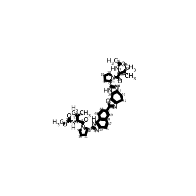 COC(=O)N[C@H](C(=O)N1CCC[C@H]1c1nc2ccc3cc(-c4nc5c(o4)-c4[nH]c([C@@H]6CCCN6C(=O)[C@@H](NC(C)=O)C(C)C)nc4CC5)ccc3c2[nH]1)C(C)C